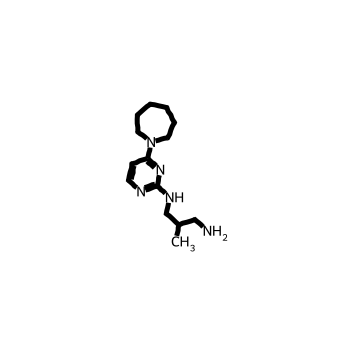 CC(CN)CNc1nccc(N2CCCCCC2)n1